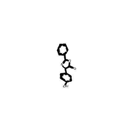 O=C1OC(c2ccccc2)=NC1c1ccc(O)cc1